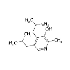 Cc1ncc(CC(C)C)c(CC(C)C)c1O